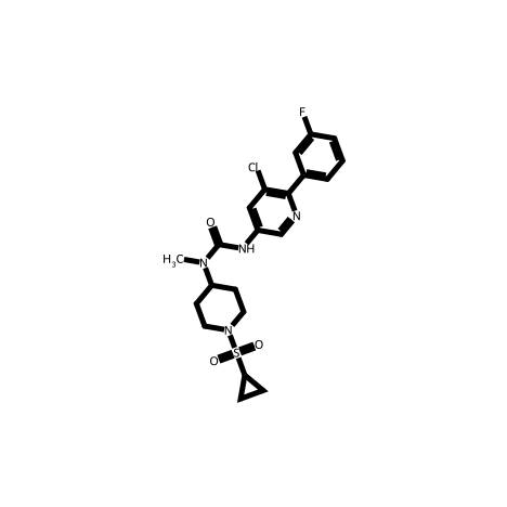 CN(C(=O)Nc1cnc(-c2cccc(F)c2)c(Cl)c1)C1CCN(S(=O)(=O)C2CC2)CC1